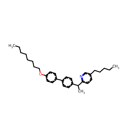 CCCCCCCCOc1ccc(-c2ccc(C(C)c3ccc(CCCCC)cn3)cc2)cc1